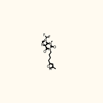 Cc1cc(CCCCn2c(=O)c3ncn(C(F)F)c3n(C)c2=O)on1